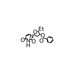 CC[C@@H]1O[C@H](n2ccc(=O)[nH]c2=O)CC1OC(=O)c1ccccc1